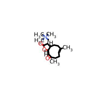 C/C1=C\CC[C@@]2(C)O[C@H]2[C@H]2OC(=O)[C@@H](C[N+](C)(C)C)[C@@H]2CC1